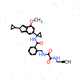 C#CCNC(=O)C(=O)NCc1ccccc1C(=O)NC1(c2cc(OC)c3c(c2)=CC(C2CC2)C=3)CC1